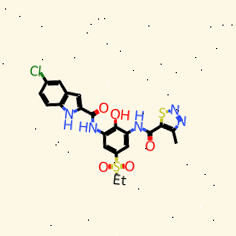 CCS(=O)(=O)c1cc(NC(=O)c2cc3cc(Cl)ccc3[nH]2)c(O)c(NC(=O)c2snnc2C)c1